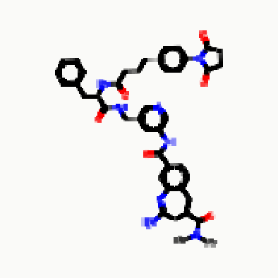 CCCN(CCC)C(=O)C1=Cc2ccc(C(=O)Nc3cncc(CNC(=O)C(Cc4ccccc4)NC(=O)CCCc4ccc(N5C(=O)C=CC5=O)cc4)c3)cc2N=C(N)C1